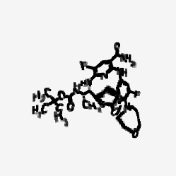 C[C@H](NC(=O)OC(C)(C)C)[C@H](Nc1nc(Nc2cnc(N3CCOCC3)c(F)c2)c(C(N)=O)cc1F)c1ccc(Cl)s1